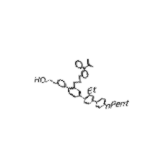 C=C(C)C(=O)OCCCc1cc(-c2ccc(-c3ccc(CCCCC)cc3)cc2CC)ccc1OCCCO